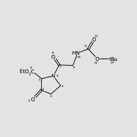 CCOC(=O)C1C(=O)CCN1C(=O)CNC(=O)OC(C)(C)C